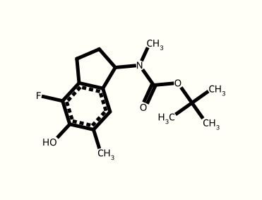 Cc1cc2c(c(F)c1O)CCC2N(C)C(=O)OC(C)(C)C